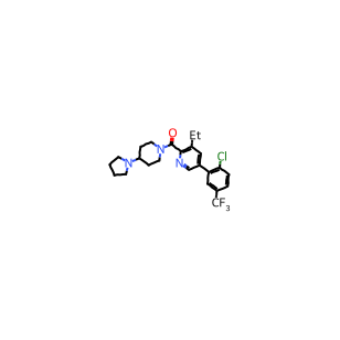 CCc1cc(-c2cc(C(F)(F)F)ccc2Cl)cnc1C(=O)N1CCC(N2CCCC2)CC1